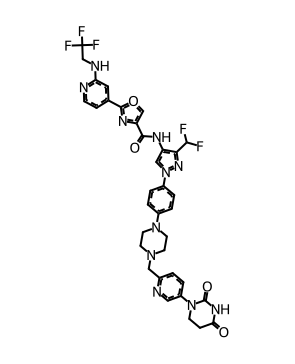 O=C1CCN(c2ccc(CN3CCN(c4ccc(-n5cc(NC(=O)c6coc(-c7ccnc(NCC(F)(F)F)c7)n6)c(C(F)F)n5)cc4)CC3)nc2)C(=O)N1